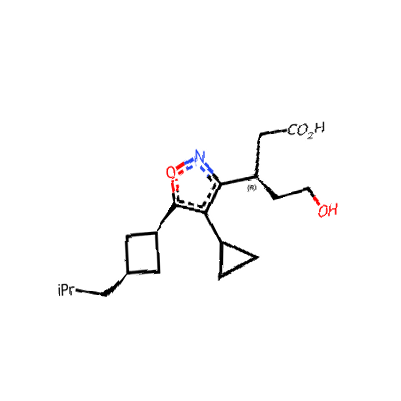 CC(C)C[C@H]1C[C@@H](c2onc([C@H](CCO)CC(=O)O)c2C2CC2)C1